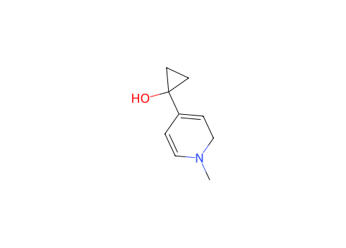 CN1C=CC(C2(O)CC2)=CC1